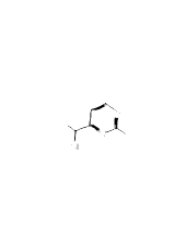 Cl.NC(C(=O)O)c1ccnc(Cl)n1